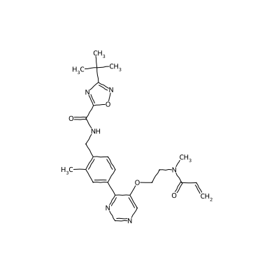 C=CC(=O)N(C)CCOc1cncnc1-c1ccc(CNC(=O)c2nc(C(C)(C)C)no2)c(C)c1